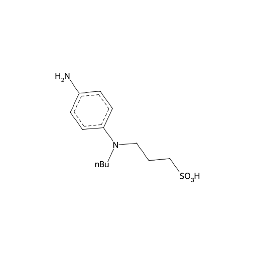 CCCCN(CCCS(=O)(=O)O)c1ccc(N)cc1